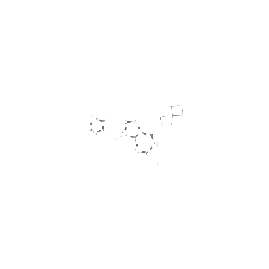 Cc1nonc1Cn1cnc2c(N3CC4(COC4)C3)nc(C(C)(C)C)nc21